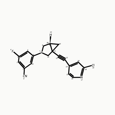 N#Cc1cc(F)cc(N2C[C@@H]3CC3(C#Cc3ccnc(Cl)c3)C2)c1